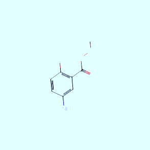 COOC(=O)c1cc(N)ccc1O